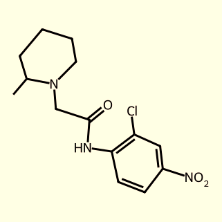 CC1CCCCN1CC(=O)Nc1ccc([N+](=O)[O-])cc1Cl